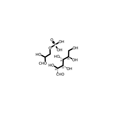 O=CC(O)COP(=O)(O)O.O=C[C@H](O)[C@@H](O)[C@H](O)[C@H](O)CO